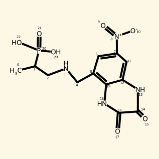 CC(CNCc1cc([N+](=O)[O-])cc2[nH]c(=O)c(=O)[nH]c12)P(=O)(O)O